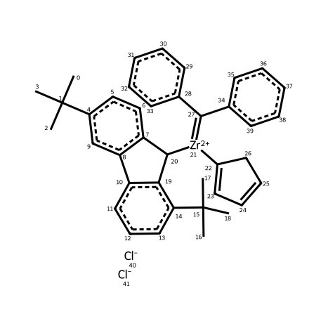 CC(C)(C)c1ccc2c(c1)-c1cccc(C(C)(C)C)c1[CH]2[Zr+2]([C]1=CC=CC1)=[C](c1ccccc1)c1ccccc1.[Cl-].[Cl-]